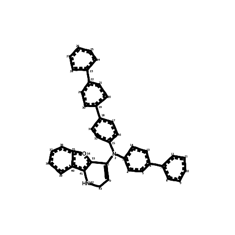 C1=C(N(c2ccc(-c3ccccc3)cc2)c2ccc(-c3ccc(-c4ccccc4)cc3)cc2)c2oc3ccccc3c2NC1